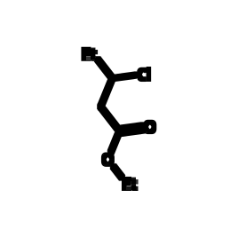 CCOC(=O)CC(Cl)CC